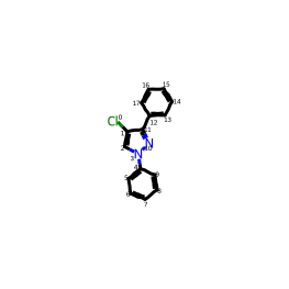 Clc1cn(-c2ccccc2)nc1-c1ccccc1